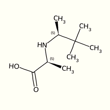 C[C@H](N[C@@H](C)C(C)(C)C)C(=O)O